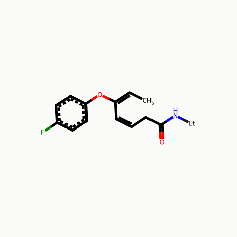 C/C=C(\C=C/CC(=O)NCC)Oc1ccc(F)cc1